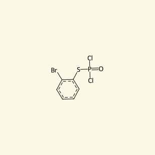 O=P(Cl)(Cl)Sc1ccccc1Br